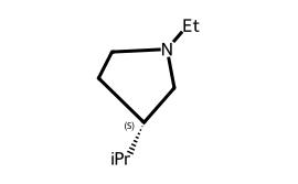 CCN1CC[C@@H](C(C)C)C1